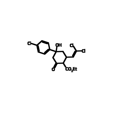 CCOC(=O)C1C(=O)CC(O)(c2ccc(Cl)cc2)CC1C=C(Cl)Cl